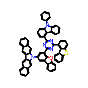 c1ccc(-n2c3ccccc3c3c(-c4nc(-c5cc(-n6c7cc8ccccc8cc7c7cc8ccccc8cc76)cc6c5oc5ccccc56)nc(-c5cccc6sc7ccccc7c56)n4)cccc32)cc1